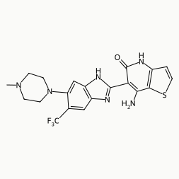 CN1CCN(c2cc3[nH]c(-c4c(N)c5sccc5[nH]c4=O)nc3cc2C(F)(F)F)CC1